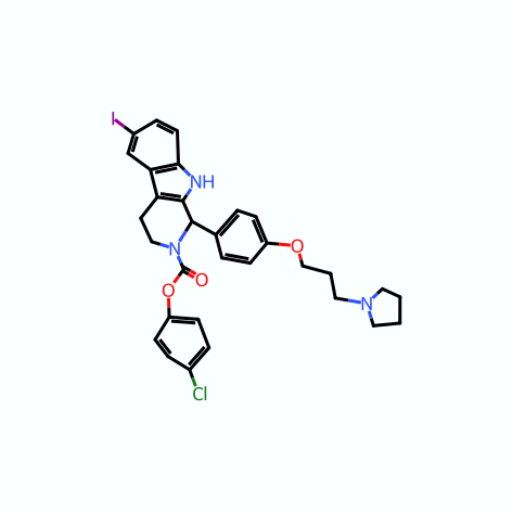 O=C(Oc1ccc(Cl)cc1)N1CCc2c([nH]c3ccc(I)cc23)C1c1ccc(OCCCN2CCCC2)cc1